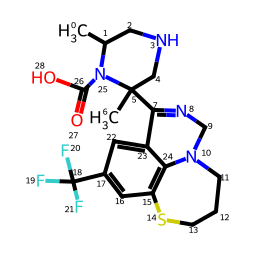 CC1CNCC(C)(C2=NCN3CCCSc4cc(C(F)(F)F)cc2c43)N1C(=O)O